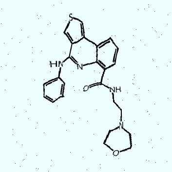 O=C(NCCN1CCOCC1)c1cccc2c1nc(Nc1ccccc1)c1cscc12